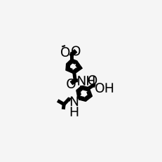 COC(=O)c1ccc(C(=O)Nc2cc(NCC(C)C)ccc2C(=O)O)cc1